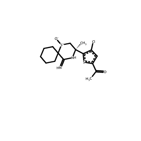 CC(=O)c1cc(Cl)c([C@]2(C)C[S+]([O-])C3(CCCCC3)C(=N)N2)s1